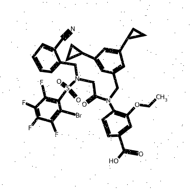 CCOc1cc(C(=O)O)ccc1N(Cc1cc(C2CC2)cc(C2CC2)c1)C(=O)CN(Cc1ccccc1C#N)S(=O)(=O)c1c(F)c(F)c(F)c(F)c1Br